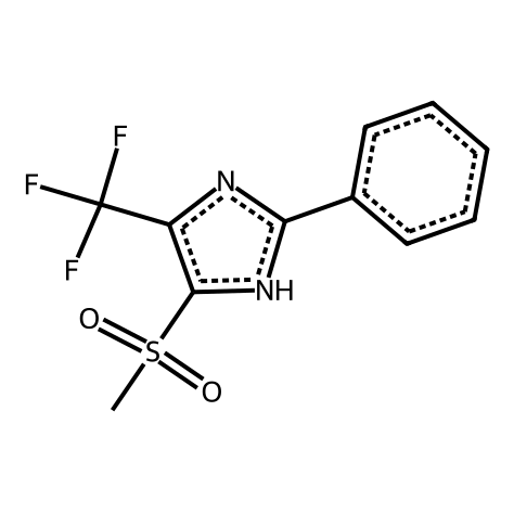 CS(=O)(=O)c1[nH]c(-c2ccccc2)nc1C(F)(F)F